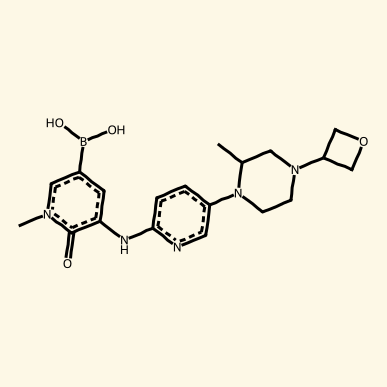 CC1CN(C2COC2)CCN1c1ccc(Nc2cc(B(O)O)cn(C)c2=O)nc1